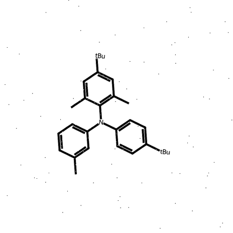 Cc1cccc(N(c2ccc(C(C)(C)C)cc2)c2c(C)cc(C(C)(C)C)cc2C)c1